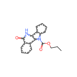 CCCOC(=O)n1c2ccccc2c2[nH]c(=O)c3ccccc3c21